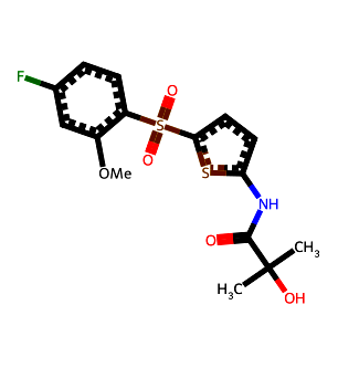 COc1cc(F)ccc1S(=O)(=O)c1ccc(NC(=O)C(C)(C)O)s1